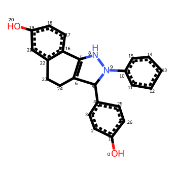 Oc1ccc(C2C3=C(NN2c2ccccc2)c2ccc(O)cc2CC3)cc1